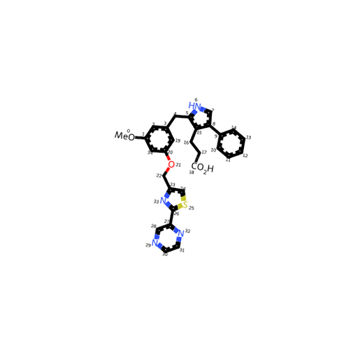 COc1cc(Cc2[nH]cc(-c3ccccc3)c2CCC(=O)O)cc(OCc2csc(-c3cnccn3)n2)c1